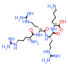 N=C(N)NCCC[C@H](NC(=O)[C@@H](CCCNC(=N)N)NC(=O)[C@@H](N)CCCNC(=N)N)C(=O)N[C@@H](CCCCN)C(=O)O